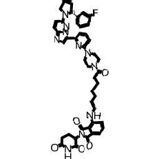 O=C1CCC(N2C(=O)c3cccc(NCCCCCCC(=O)N4CCN(c5cccc(-c6cnc7ccc(N8CCC[C@@H]8c8cccc(F)c8)nn67)n5)CC4)c3C2=O)C(=O)N1